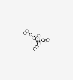 c1ccc2cc(C3N=C(c4ccc5c(c4)oc4ccccc45)N=C(c4ccc(-c5ccc(-c6cccc7ccccc67)cc5)c5oc6ccccc6c45)N3)ccc2c1